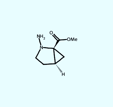 COC(=O)[C@@]12C[C@H]1CCN2N